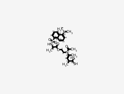 CC(=O)N(CCOC(=O)C(C)NS(=O)(=O)c1cccc2c(N(C)C)cccc12)C(C)=CC(C)C(S)S